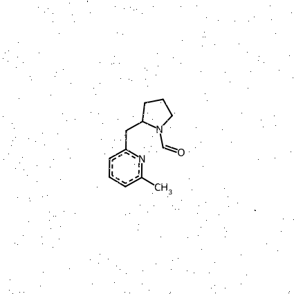 Cc1cccc(CC2CCCN2C=O)n1